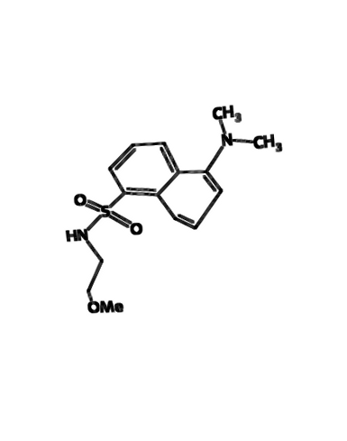 COCCNS(=O)(=O)c1cccc2c(N(C)C)cccc12